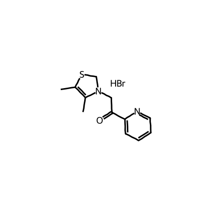 Br.CC1=C(C)N(CC(=O)c2ccccn2)CS1